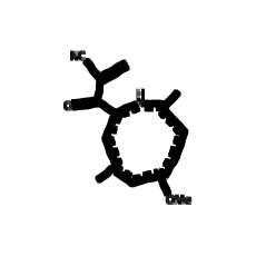 C=C(C#N)C(=O)c1cc(C)cc(OC)ccc(C)[nH]1